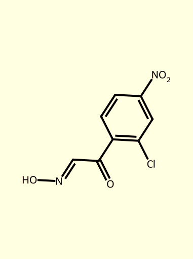 O=C(C=NO)c1ccc([N+](=O)[O-])cc1Cl